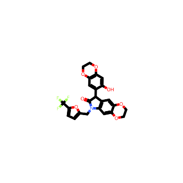 O=C1C(c2cc3c(cc2O)OCCO3)c2cc3c(cc2N1Cc1ccc(C(F)(F)F)o1)OCCO3